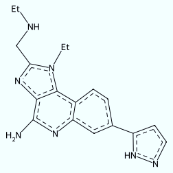 CCNCc1nc2c(N)nc3cc(-c4ccn[nH]4)ccc3c2n1CC